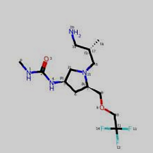 CNC(=O)N[C@@H]1C[C@H](COCC(F)(F)F)N(C[C@@H](C)CN)C1